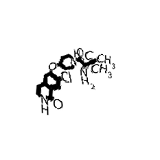 CC(C)(C)[C@H](N)C(=O)N1CCC(Oc2cc3cc[nH]c(=O)c3cc2Cl)CC1